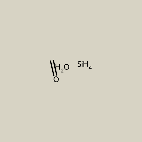 C=O.O.[SiH4]